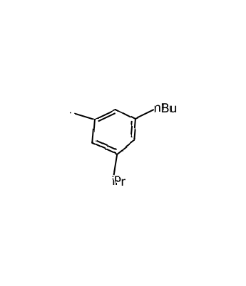 [CH2]c1cc(CCCC)cc(C(C)C)c1